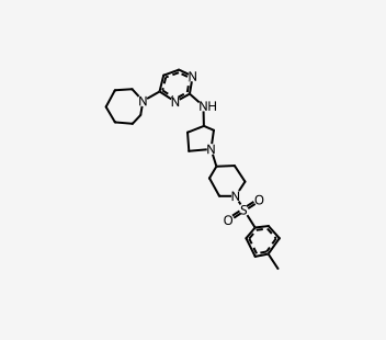 Cc1ccc(S(=O)(=O)N2CCC(N3CCC(Nc4nccc(N5CCCCCC5)n4)C3)CC2)cc1